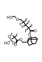 O=C(OC12CC3CC(CC(COC(=O)C(F)(F)S(=O)(=O)O)(C3)C1)C2)C(F)(F)C(F)(F)C(F)(F)COCO